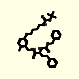 Cc1ccc(OCCCCNC(=O)OC(C)(C)C)cc1CNC(=O)C(CCc1ccccc1)NC(=O)OCc1ccccc1